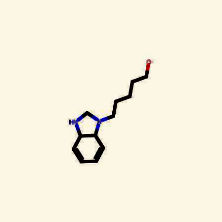 [O]CCCCCN1CNC2C=CC=CC21